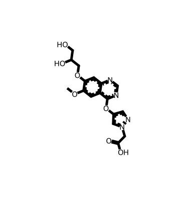 COc1cc2c(Oc3cnn(CC(=O)O)c3)ncnc2cc1OCC(O)CO